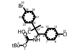 CC(C)(C)OC(=O)N[C@H](c1ccc(Cl)cc1)C(C)(C(=O)O)c1ccc(Br)cc1